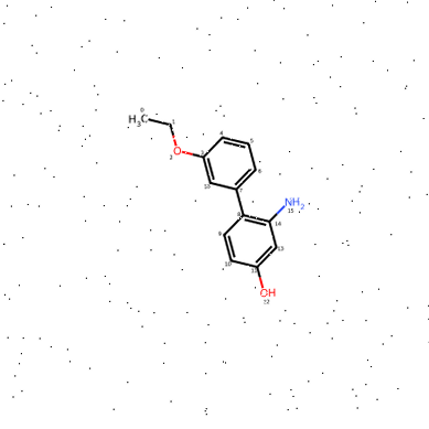 CCOc1cccc(-c2ccc(O)cc2N)c1